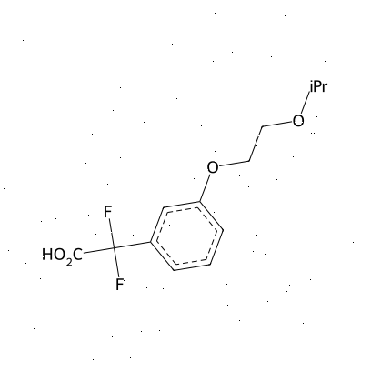 CC(C)OCCOc1cccc(C(F)(F)C(=O)O)c1